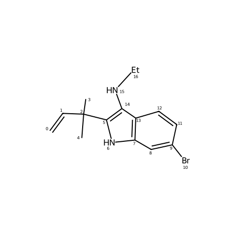 C=CC(C)(C)c1[nH]c2cc(Br)ccc2c1NCC